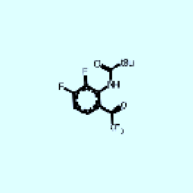 CC(C)(C)C(=O)Nc1c(C(=O)C(F)(F)F)ccc(F)c1F